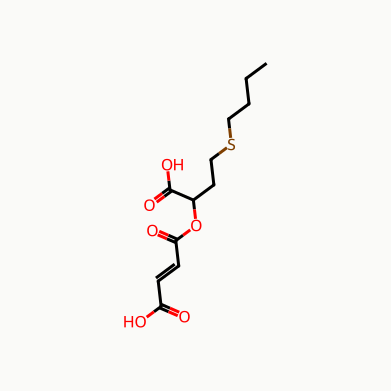 CCCCSCCC(OC(=O)/C=C/C(=O)O)C(=O)O